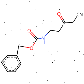 N#CCC(=O)CCNC(=O)OCc1ccccc1